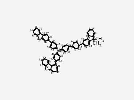 CC1(C)c2ccccc2-c2cc(-c3ccc(-c4ccc(N(c5ccc(-c6ccc7c(c6)sc6ccccc67)cc5)c5ccc(-c6cccc7oc8ccccc8c67)cc5)cc4)cc3)ccc21